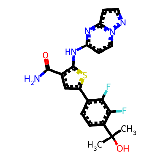 CC(C)(O)c1ccc(-c2cc(C(N)=O)c(Nc3ccn4nccc4n3)s2)c(F)c1F